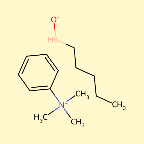 CCCCCB[O-].C[N+](C)(C)c1ccccc1